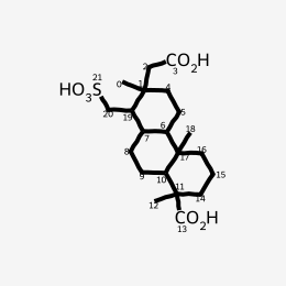 CC1(CC(=O)O)CCC2C(CCC3C(C)(C(=O)O)CCCC23C)C1CS(=O)(=O)O